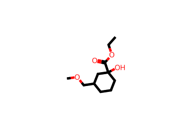 CCOC(=O)C1(O)CCCC(COC)C1